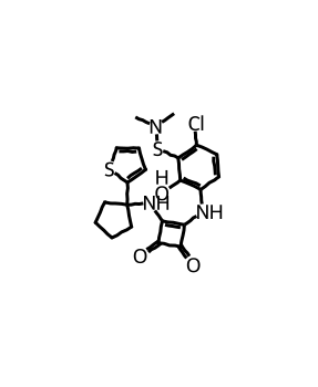 CN(C)Sc1c(Cl)ccc(Nc2c(NC3(c4cccs4)CCCC3)c(=O)c2=O)c1O